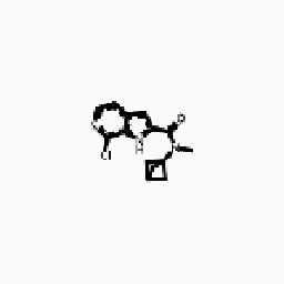 CN(C(=O)c1cc2ccnc(Cl)c2[nH]1)C12CC(C1)C2